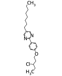 CCCCCCCCc1cnc(-c2ccc(OCCC(Cl)CC)cc2)nc1